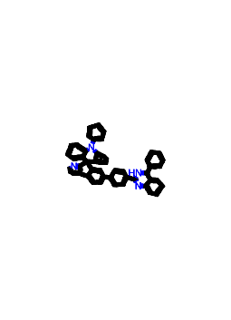 c1ccc(C2NC(c3ccc(-c4ccc5c(c4)C4(c6ccccc6N(c6ccccc6)c6ccccc64)c4ncccc4-5)cc3)=Nc3ccccc32)cc1